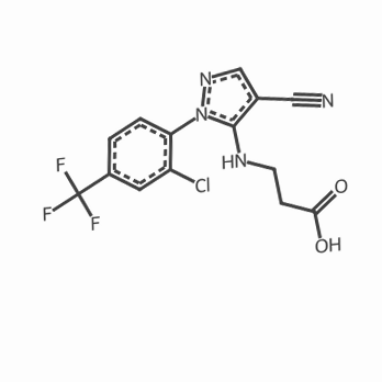 N#Cc1cnn(-c2ccc(C(F)(F)F)cc2Cl)c1NCCC(=O)O